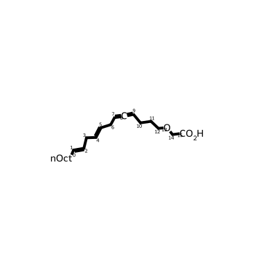 CCCCCCCCC=CCC=CCC=C=CCCCOCC(=O)O